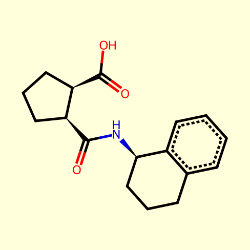 O=C(N[C@@H]1CCCc2ccccc21)[C@H]1CCC[C@H]1C(=O)O